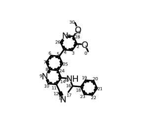 COc1cc(-c2ccc3ncc(C#N)c(NC(C)c4ccccc4)c3c2)cnc1OC